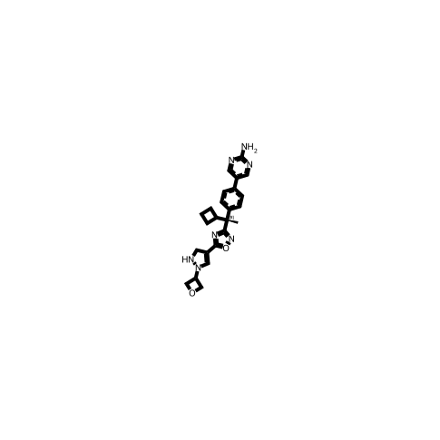 C[C@@](c1ccc(-c2cnc(N)nc2)cc1)(c1noc(C2=CN(C3COC3)NC2)n1)C1CCC1